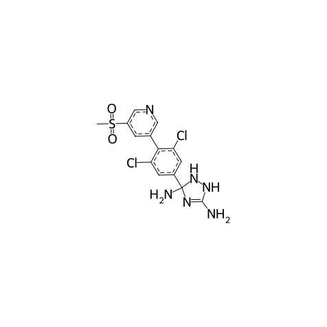 CS(=O)(=O)c1cncc(-c2c(Cl)cc(C3(N)N=C(N)NN3)cc2Cl)c1